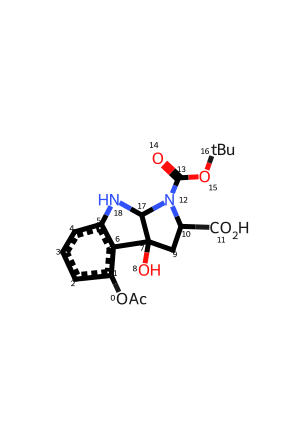 CC(=O)Oc1cccc2c1C1(O)CC(C(=O)O)N(C(=O)OC(C)(C)C)C1N2